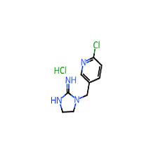 Cl.N=C1NCCN1Cc1ccc(Cl)nc1